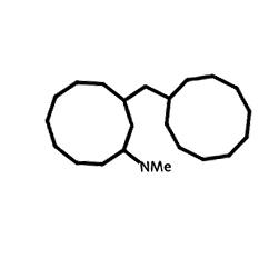 CNC1CCCCCCCC(CC2CCCCCCCCC2)C1